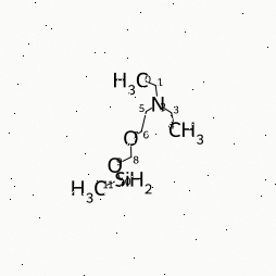 CCN(CC)CCOCO[SiH2]C